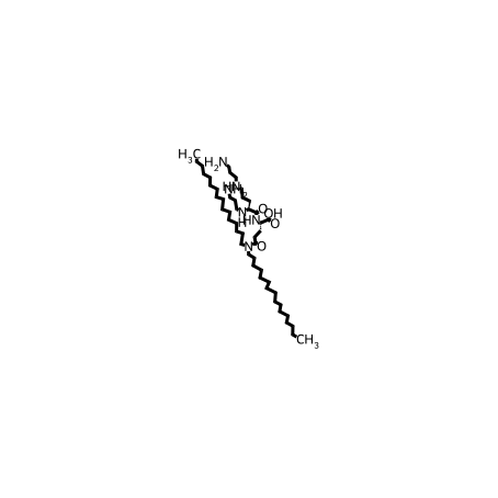 CCCCCCCCCCCCCCCCN(CCCCCCCCCCCCCCCC)C(=O)CC[C@H](NC(=O)[C@H](CCCNCCCN)NCCCN)C(=O)O